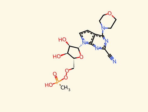 CP(=O)(O)OOC[C@H]1O[C@@H](n2ccc3c(N4CCOCC4)nc(C#N)nc32)[C@H](O)[C@@H]1O